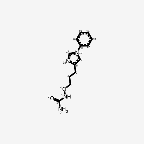 NC(=O)NOCCCc1cn(-c2ccccc2)cn1